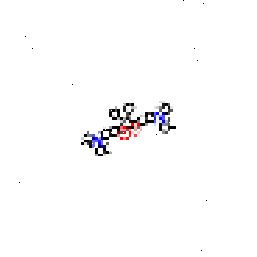 Cc1cccc(N(c2ccc3cc4c(cc3c2)oc2c3oc5cc6cc(N(c7cccc(C)c7C)c7cccc(C)c7C)ccc6cc5c3c(-c3ccccc3)c(-c3ccccc3)c42)c2cccc(C)c2C)c1C